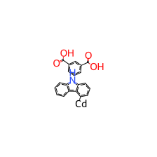 O=C(O)c1cccc(C(=O)O)c1.[Cd][c]1cccc2[nH]c3ccccc3c12